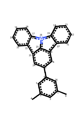 Cc1cc(C)cc(-c2cc3c4ccccc4n4c5ccccc5c(c2)c34)c1